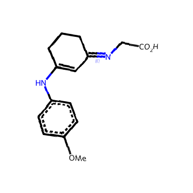 COc1ccc(NC2=C/C(=N/CC(=O)O)CCC2)cc1